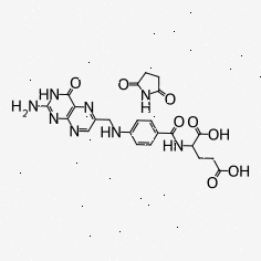 Nc1nc2ncc(CNc3ccc(C(=O)NC(CCC(=O)O)C(=O)O)cc3)nc2c(=O)[nH]1.O=C1CCC(=O)N1